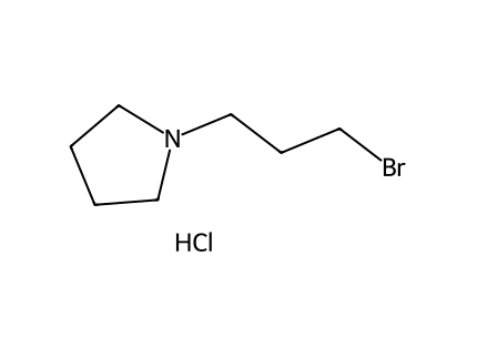 BrCCCN1CCCC1.Cl